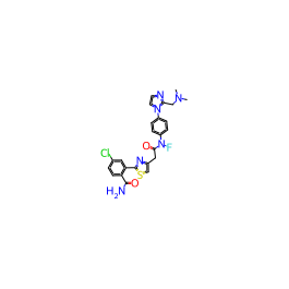 CN(C)Cc1nccn1-c1ccc(N(F)C(=O)Cc2csc(-c3cc(Cl)ccc3C(N)=O)n2)cc1